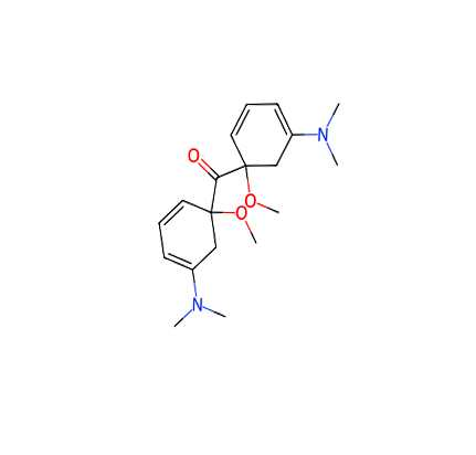 COC1(C(=O)C2(OC)C=CC=C(N(C)C)C2)C=CC=C(N(C)C)C1